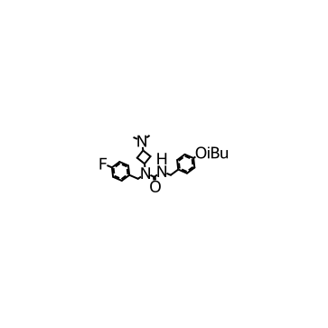 CC(C)COc1ccc(CNC(=O)N(Cc2ccc(F)cc2)C2CC(N(C)C)C2)cc1